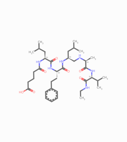 CCNC(=O)[C@@H](NC(=O)[C@H](C)NC[C@H](CC(C)C)NC(=O)[C@H](CCc1ccccc1)NC(=O)[C@H](CC(C)C)NC(=O)CCCC(=O)O)C(C)C